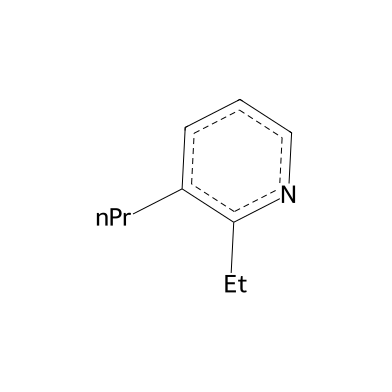 CCCc1cccnc1CC